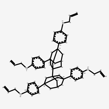 C=CCOc1ccc(C23CC4CC(c5ccc(OCC=C)cc5)(C2)CC(C25CC6CC(c7ccc(OCC=C)cc7)(CC(c7ccc(OCC=C)cc7)(C6)C2)C5)(C4)C3)cc1